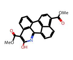 COC(=O)c1ccc2c3cccc4c(C(=O)OC)c(O)nc(c5cccc1c25)c43